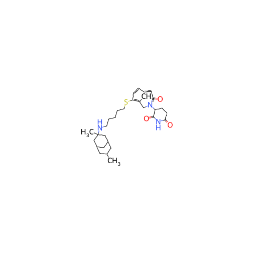 C\C1=C(SCCCCCNC2(C)CC3CC(C)CC(C3)C2)/C=C\C=C\C(=O)N(C2CCC(=O)NC2=O)C1